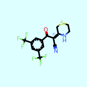 N#C/C(C(=O)c1cc(C(F)(F)F)cc(C(F)(F)F)c1)=C1/CSCCN1